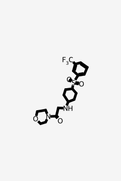 O=C(CNC1CCC(S(=O)(=O)c2cccc(C(F)(F)F)c2)CC1)N1CCOCC1